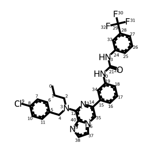 CCCN(Cc1ccc(Cl)cc1)c1nc(-c2cccc(NC(=O)Nc3cccc(C(F)(F)F)c3)c2)cn2ccnc12